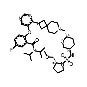 COC[C@H]1CCCN1S(=O)(=O)N[C@@H]1CC[C@@H](CN2CCC3(CC2)CN(c2ncncc2Oc2ccc(F)cc2C(=O)N(C(C)C)C(C)C)C3)OC1